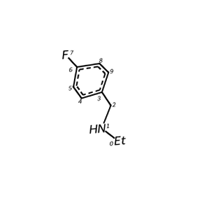 [CH2]CNCc1ccc(F)cc1